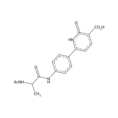 CC(=O)NC(C)C(=O)Nc1ccc(-c2ccc(C(=O)O)c(=O)[nH]2)cc1